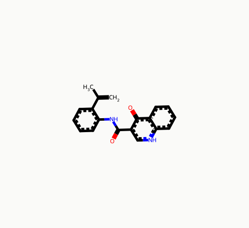 C=C(C)c1ccccc1NC(=O)c1c[nH]c2ccccc2c1=O